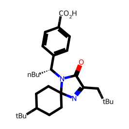 CCCC[C@H](c1ccc(C(=O)O)cc1)N1C(=O)C(CC(C)(C)C)=NC12CCC(C(C)(C)C)CC2